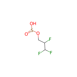 O=S(O)OCC(F)C(F)F